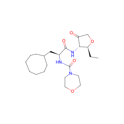 CC[C@@H]1OCC(=O)[C@H]1NC(=O)[C@H](CC1CCCCCCC1)NC(=O)N1CCOCC1